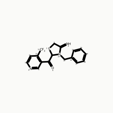 N=C1CSC(C(=O)c2cnccc2C(F)(F)F)N1Cc1ccccc1